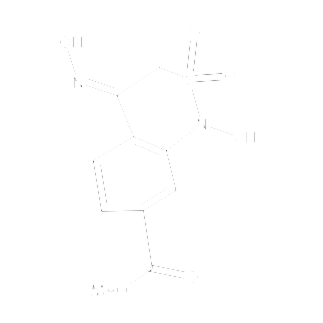 COC(=O)c1ccc2c(c1)N(C)S(=O)(=O)CC2=NO